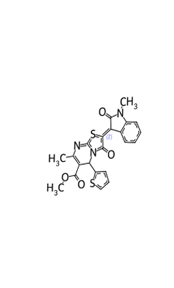 COC(=O)C1=C(C)N=c2s/c(=C3\C(=O)N(C)c4ccccc43)c(=O)n2C1c1cccs1